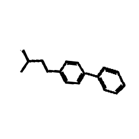 [CH2]C(C)CCc1ccc(-c2ccccc2)cc1